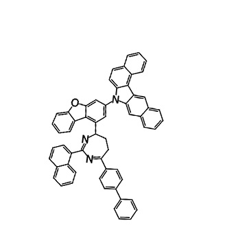 c1ccc(-c2ccc(C3=NC(c4cccc5ccccc45)=NC(c4cc(-n5c6cc7ccccc7cc6c6c7ccccc7ccc65)cc5oc6ccccc6c45)CC3)cc2)cc1